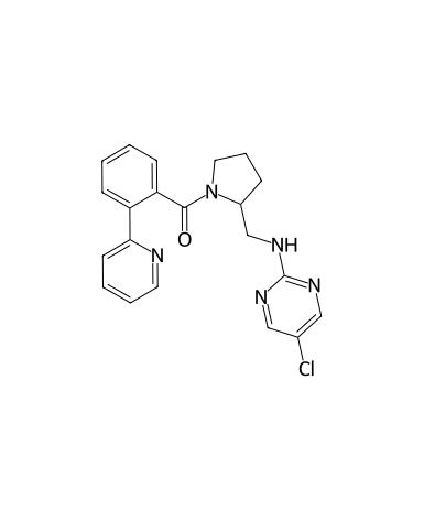 O=C(c1ccccc1-c1ccccn1)N1CCCC1CNc1ncc(Cl)cn1